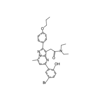 CCCOc1ccc(-c2nn3c(C)cc(-c4cc(Br)ccc4O)nc3c2CC(=O)N(CC)CC)cc1